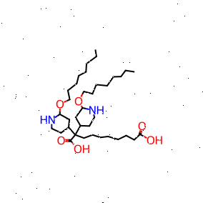 CCCCCCCCOC1CC(C(CCCCCCCC(=O)O)(C(=O)O)C2CCNC(OCCCCCCCC)C2)CCN1